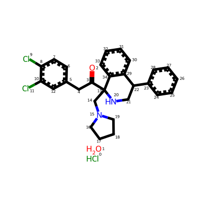 Cl.O.O=C(Cc1ccc(Cl)c(Cl)c1)C1(CN2CCCC2)NCC(c2ccccc2)c2ccccc21